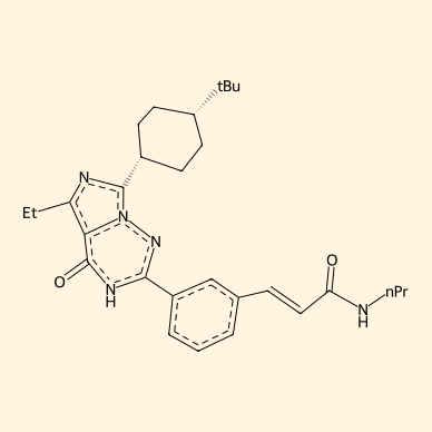 CCCNC(=O)/C=C/c1cccc(-c2nn3c(c(CC)nc3[C@H]3CC[C@@H](C(C)(C)C)CC3)c(=O)[nH]2)c1